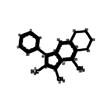 Cc1c(C)n(-c2ccccc2)c2nc3c(c(N)c12)CCCC3